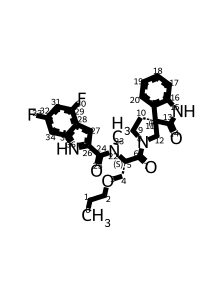 CCCOC[C@@H](C(=O)N1CC[C@@]2(C1)C(=O)Nc1ccccc12)N(C)C(=O)c1cc2c(F)cc(F)cc2[nH]1